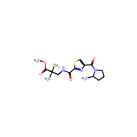 COC(=O)C(C)(C)CNC(=O)c1nc(C(=O)N2CCCC2C)cs1